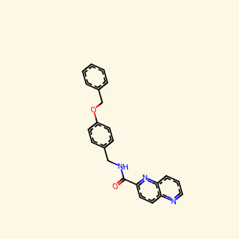 O=C(NCc1ccc(OCc2ccccc2)cc1)c1ccc2ncccc2n1